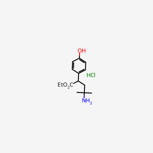 CCOC(=O)C(CC(C)(C)N)c1ccc(O)cc1.Cl